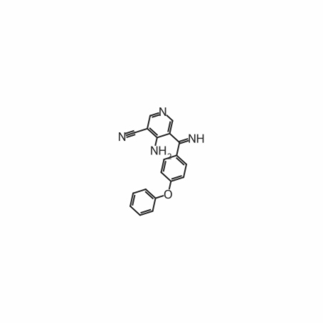 N#Cc1cncc(C(=N)c2ccc(Oc3ccccc3)cc2)c1N